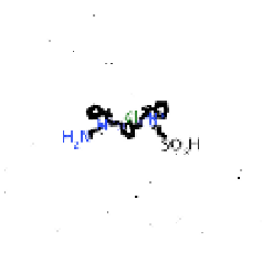 CC1(C)C(/C=C/C2=C(Cl)C(=C/C=C3/N(CCCN)c4ccccc4C3(C)C)/CCC2)=[N+](CCCCS(=O)(=O)O)c2ccccc21